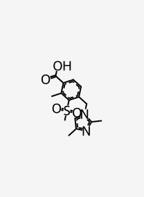 Cc1cn(Cc2ccc(C(=O)O)c(C)c2S(C)(=O)=O)c(C)n1